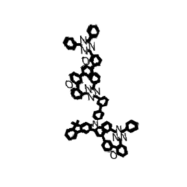 CC1(C)c2ccccc2-c2cc3c4cc(-c5ccc6oc7cccc(-c8nc(-c9ccccc9)nc(-c9ccccc9)n8)c7c6c5)ccc4n(-c4ccc(-c5cccc(-c6nc(-c7ccccc7)nc(-c7cccc8oc9ccc(-c%10ccc%11c(c%10)oc%10c(-c%12nc(-c%13ccccc%13)nc(-c%13ccccc%13)n%12)cccc%10%11)cc9c78)n6)c5)cc4)c3cc21